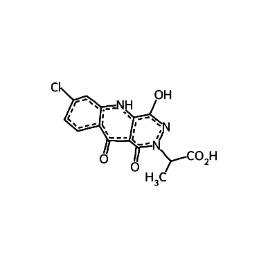 CC(C(=O)O)n1nc(O)c2[nH]c3cc(Cl)ccc3c(=O)c2c1=O